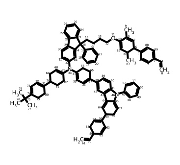 C=Cc1ccc(C2C=C(C)C(OCCCCC3(c4ccccc4)c4ccccc4-c4ccc(N(C5=CC=C(c6ccc7c(c6)c6c(n7-c7ccccc7)=CCC(C7=CCC(C=C)C=C7)C=6)CC5)C5=CCC(C6=CC=C(C(C)(C)C)CC6)CC5)cc43)=CC2C)cc1